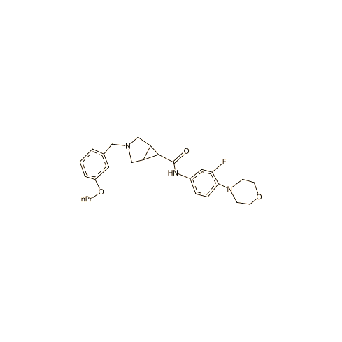 CCCOc1cccc(CN2CC3C(C2)C3C(=O)Nc2ccc(N3CCOCC3)c(F)c2)c1